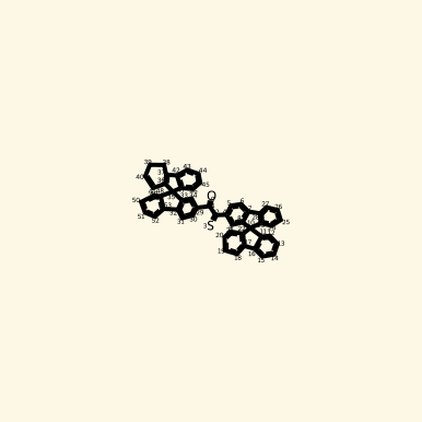 O=C(C(=S)c1ccc2c(c1)C1(c3ccccc3-c3ccccc31)c1ccccc1-2)c1ccc2c(c1)C1(C3=C(CCC=C3)c3ccccc31)c1ccccc1-2